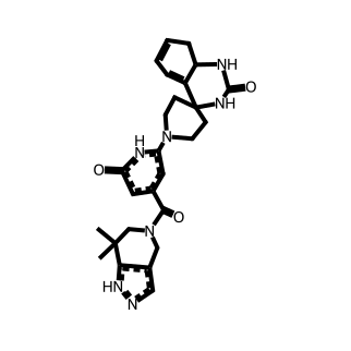 CC1(C)CN(C(=O)c2cc(N3CCC4(CC3)NC(=O)NC3CC=CC=C34)[nH]c(=O)c2)Cc2cn[nH]c21